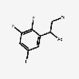 CC(=O)C(CO)c1cc(F)cc(F)c1F